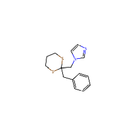 c1ccc(CC2(Cn3ccnc3)SCCCS2)cc1